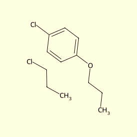 CCCCl.CCCOc1ccc(Cl)cc1